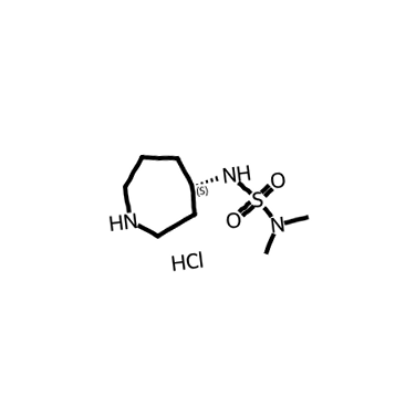 CN(C)S(=O)(=O)N[C@H]1CCCNCC1.Cl